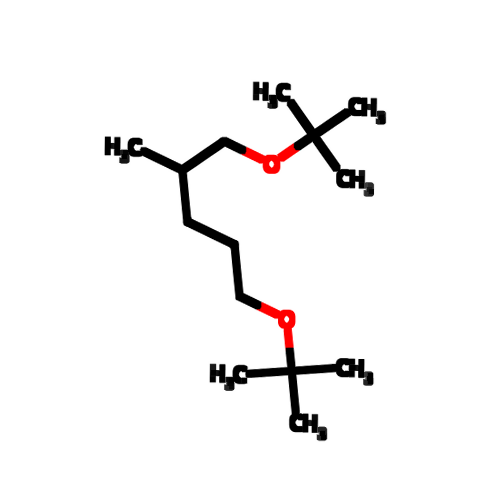 CC(CCCOC(C)(C)C)COC(C)(C)C